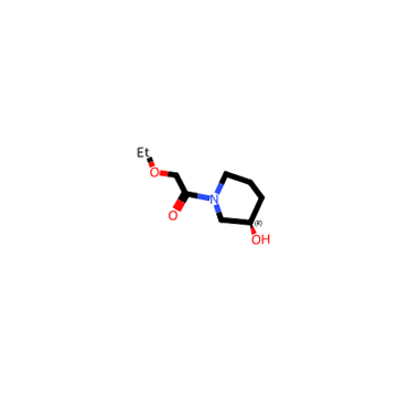 CCOCC(=O)N1CCC[C@@H](O)C1